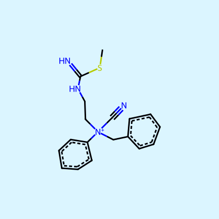 CSC(=N)NCC[N+](C#N)(Cc1ccccc1)c1ccccc1